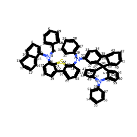 c1ccc(CN(c2cccc3ccccc23)c2cccc3c2sc2c(N(c4ccccc4)c4ccc5c(c4)C4(c6ccccc6-5)c5ccccc5N(c5ccccc5)c5ccccc54)cccc23)cc1